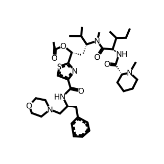 CCC(C)[C@H](NC(=O)[C@H]1CCCCN1C)C(=O)N(C)[C@H](C[C@@H](OC(C)=O)c1nc(C(=O)N[C@@H](Cc2ccccc2)CN2CCOCC2)cs1)C(C)C